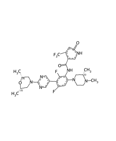 C[C@@H]1CN(c2ncc(-c3c(F)cc(N4CCN(C)[C@@H](C)C4)c(NC(=O)c4c[nH]c(=O)cc4C(F)(F)F)c3F)cn2)C[C@H](C)O1